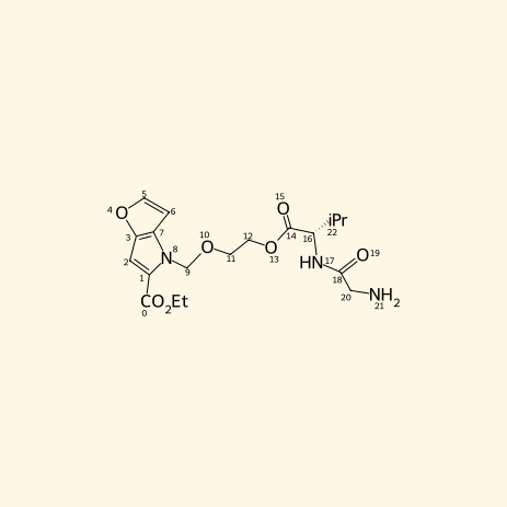 CCOC(=O)c1cc2occc2n1COCCOC(=O)[C@@H](NC(=O)CN)C(C)C